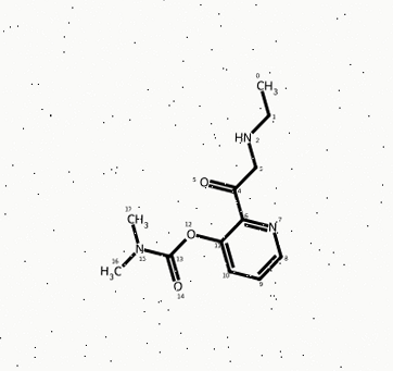 CCNCC(=O)c1ncccc1OC(=O)N(C)C